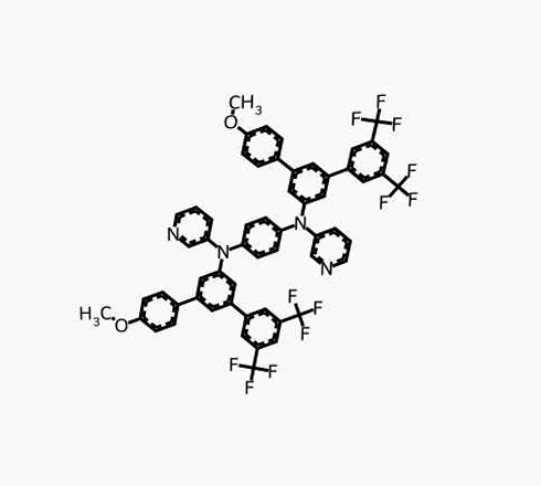 COc1ccc(-c2cc(-c3cc(C(F)(F)F)cc(C(F)(F)F)c3)cc(N(c3ccc(N(c4cccnc4)c4cc(-c5ccc(OC)cc5)cc(-c5cc(C(F)(F)F)cc(C(F)(F)F)c5)c4)cc3)c3cccnc3)c2)cc1